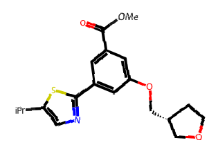 COC(=O)c1cc(OC[C@@H]2CCOC2)cc(-c2ncc(C(C)C)s2)c1